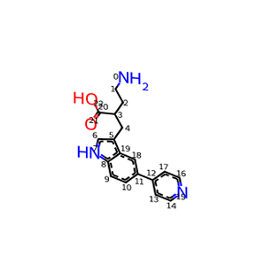 NCCC(Cc1c[nH]c2ccc(-c3ccncc3)cc12)C(=O)O